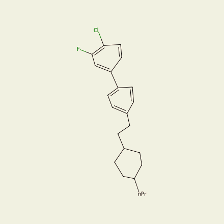 CCCC1CCC(CCc2ccc(-c3ccc(Cl)c(F)c3)cc2)CC1